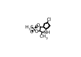 CC1Nc2ccc(Cl)cc2C(=O)C1OS(C)(=O)=O